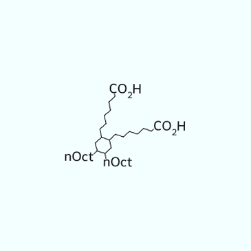 CCCCCCCCC1CC(CCCCCCC(=O)O)C(CCCCCCC(=O)O)CC1CCCCCCCC